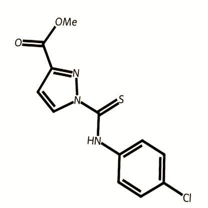 COC(=O)c1ccn(C(=S)Nc2ccc(Cl)cc2)n1